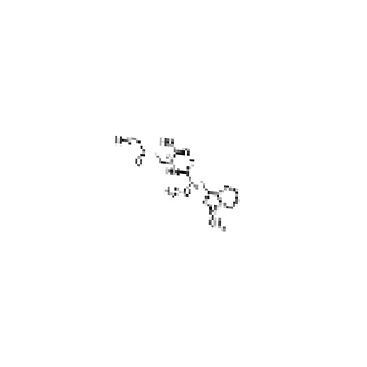 CO[C@H](Cc1cn(C)c2ccccc12)C(=O)N[C@@H](CCC(=O)C=[N+]=[N-])C(=O)O